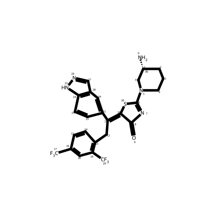 N[C@@H]1CCCN(C2=NC(=O)C(=C(Cc3ccc(C(F)(F)F)cc3C(F)(F)F)c3ccc4[nH]ncc4c3)S2)C1